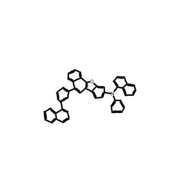 c1ccc(N(c2ccc3c(c2)oc2c4ccccc4c(-c4cccc(-c5cccc6ccccc56)c4)cc32)c2cccc3ccccc23)cc1